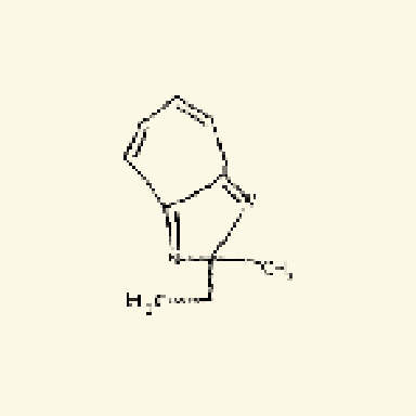 CCC1(C)N=c2ccccc2=N1